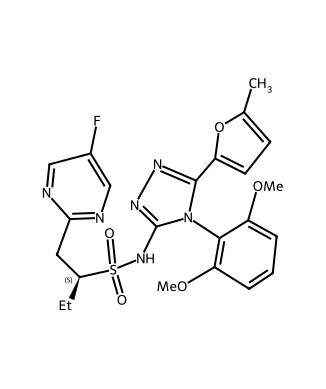 CC[C@@H](Cc1ncc(F)cn1)S(=O)(=O)Nc1nnc(-c2ccc(C)o2)n1-c1c(OC)cccc1OC